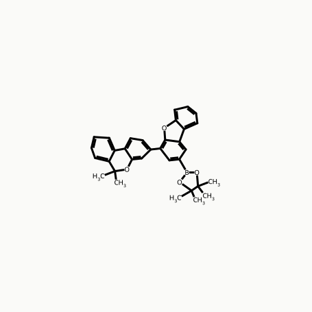 CC1(C)Oc2cc(-c3cc(B4OC(C)(C)C(C)(C)O4)cc4c3oc3ccccc34)ccc2-c2ccccc21